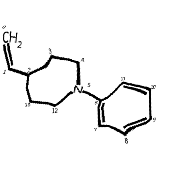 C=CC1CCN(c2ccccc2)CC1